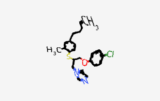 CCCCc1ccc(SC(COc2ccc(Cl)cc2)Cn2ccnc2)c(C)c1